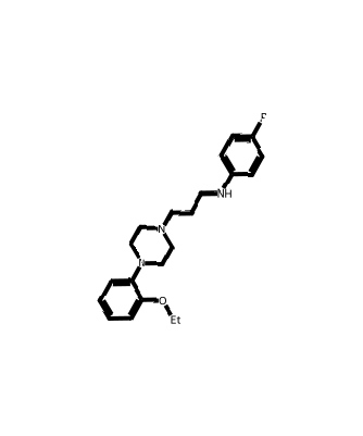 CCOc1ccccc1N1CCN(CCCNc2ccc(F)cc2)CC1